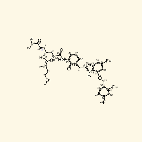 COCCN(C)C(O)O[C@@H](CC/C=C/C(=O)N(C)C)C(=O)Nc1cccn(Cc2nc3cc(F)cc(OCc4ccc(F)cc4F)c3[nH]2)c1=O